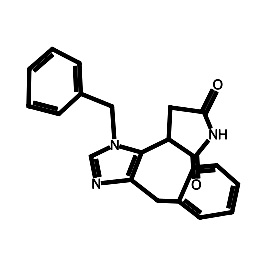 O=C1CC(c2c(Cc3ccccc3)ncn2Cc2ccccc2)C(=O)N1